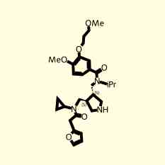 COCCCOc1cc(C(=O)N(C[C@@H]2CNC[C@H]2CN(C(=O)Cc2ccco2)C2CC2)C(C)C)ccc1OC